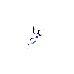 CC#CCn1c(N2CCN(C(=O)OC(C)(C)C)CC2)nc(C=O)c1C(=O)OC